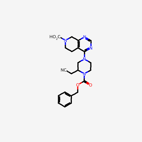 N#CCC1CN(c2ncnc3c2CCN(C(=O)O)C3)CCN1C(=O)OCc1ccccc1